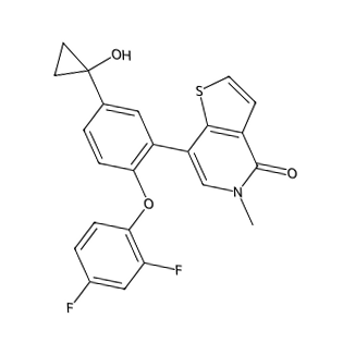 Cn1cc(-c2cc(C3(O)CC3)ccc2Oc2ccc(F)cc2F)c2sccc2c1=O